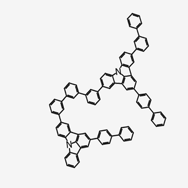 c1ccc(-c2ccc(-c3cc4c5ccccc5n5c6ccc(-c7cccc(-c8cccc(-c9cccc(-c%10ccc%11c(c%10)c%10cc(-c%12ccc(-c%13ccccc%13)cc%12)cc%12c%13cc(-c%14cccc(-c%15ccccc%15)c%14)ccc%13n%11c%12%10)c9)c8)c7)cc6c(c3)c45)cc2)cc1